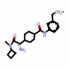 CN(C(=O)[C@@H](N)C1CCC(C(=O)Nc2cccc(CC(=O)O)c2)CC1)C1CCC1